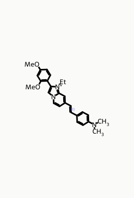 CC[n+]1c(-c2ccc(OC)cc2OC)cn2ccc(/C=C/c3ccc(N(C)C)cc3)cc21